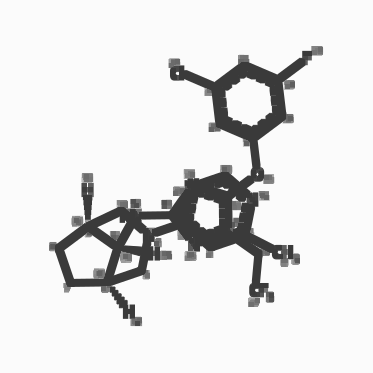 Cc1cc(N2C[C@H]3CC[C@@H](C2)[C@@H]3Nc2nc(Oc3cc(F)cc(Cl)c3)n(CC(F)(F)F)n2)ncn1